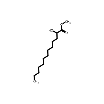 CCCCCCCCCCCC(O)C(=O)OC